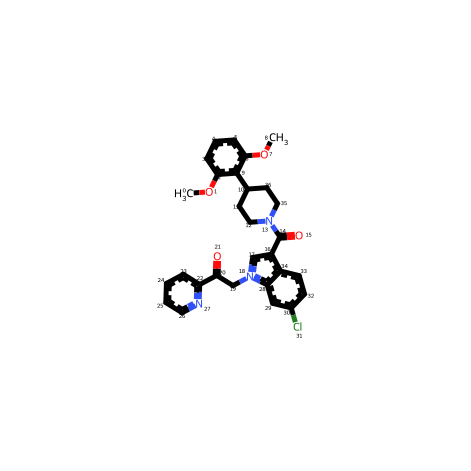 COc1cccc(OC)c1C1CCN(C(=O)c2cn(CC(=O)c3ccccn3)c3cc(Cl)ccc23)CC1